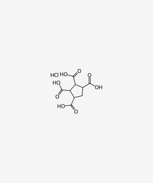 Cl.O=C(O)C1CC(C(=O)O)C(C(=O)O)C1C(=O)O